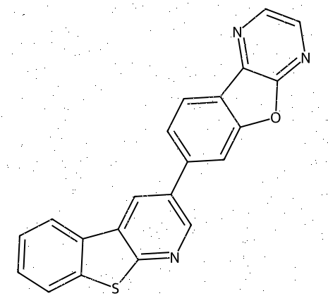 c1ccc2c(c1)sc1ncc(-c3ccc4c(c3)oc3nccnc34)cc12